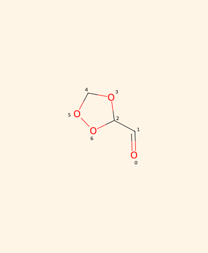 O=CC1OCOO1